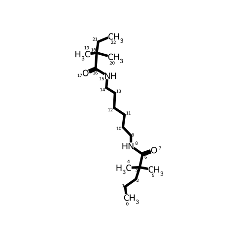 CCCC(C)(C)C(=O)NCCCCCCNC(=O)C(C)(C)CC